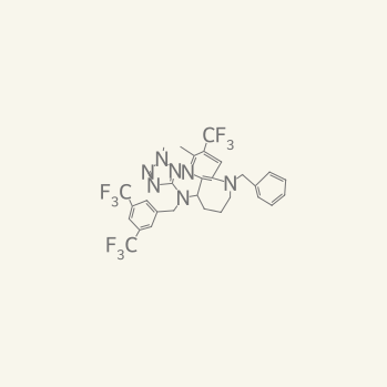 Cc1nc2c(cc1C(F)(F)F)N(Cc1ccccc1)CCCC2N(Cc1cc(C(F)(F)F)cc(C(F)(F)F)c1)c1nnn(C)n1